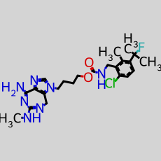 CNC1=NCc2c(ncn2CCCCOC(=O)NCc2c(Cl)ccc(C(C)(C)F)c2C)C(N)=N1